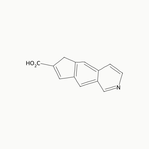 O=C(O)C1=Cc2cc3cnccc3cc2C1